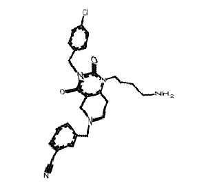 N#Cc1cccc(CN2CCc3c(c(=O)n(Cc4ccc(Cl)cc4)c(=O)n3CCCCN)C2)c1